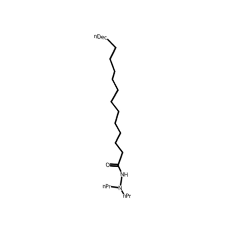 CCCCCCCCCCCCCCCCCCCCCC(=O)NN(CCC)CCC